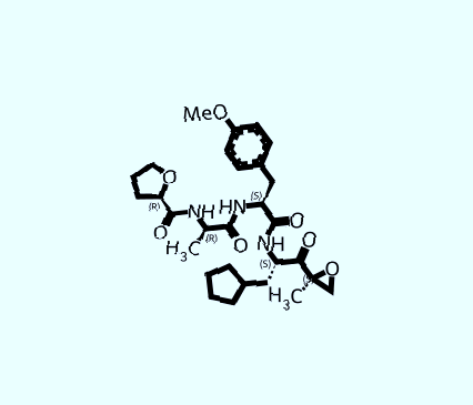 COc1ccc(C[C@H](NC(=O)[C@@H](C)NC(=O)[C@H]2CCCO2)C(=O)N[C@@H](CC2CCCC2)C(=O)[C@]2(C)CO2)cc1